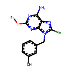 CCOc1nc(N)c2nc(Br)n(Cc3cccc(C#N)c3)c2n1